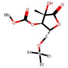 CC[Si](CC)(CC)OC[C@H]1OC(=O)[C@@](C)(O)[C@@H]1OC(=O)OC(C)(C)C